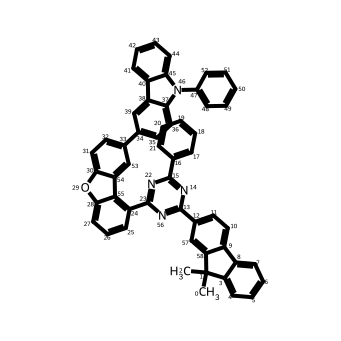 CC1(C)c2ccccc2-c2ccc(-c3nc(-c4ccccc4)nc(-c4cccc5oc6ccc(-c7ccc8c(c7)c7ccccc7n8-c7ccccc7)cc6c45)n3)cc21